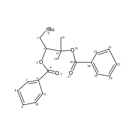 CC(C)(C)CC(OC(=O)c1ccccc1)C(C)(C)OC(=O)c1ccccc1